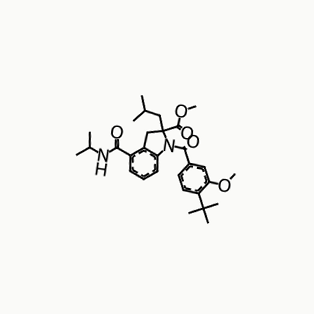 COC(=O)C1(CC(C)C)Cc2c(C(=O)NC(C)C)cccc2N1C(=O)c1ccc(C(C)(C)C)c(OC)c1